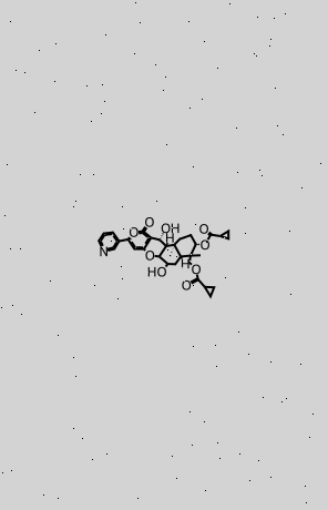 CC1(COC(=O)C2CC2)[C@@H](OC(=O)C2CC2)CC[C@]2(C)[C@@H]3C(Oc4cc(-c5cccnc5)oc(=O)c4[C@@H]3O)C(O)C[C@@H]12